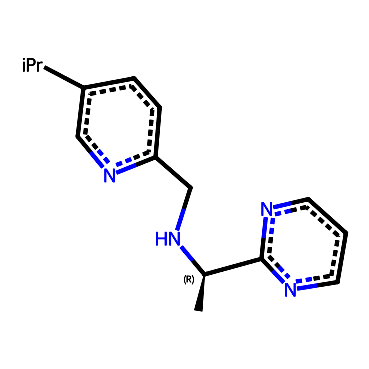 CC(C)c1ccc(CN[C@H](C)c2ncccn2)nc1